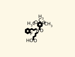 COc1cc(C(=O)N(CCCCC(=O)O)CCCc2ccccc2F)cc(OC)c1C